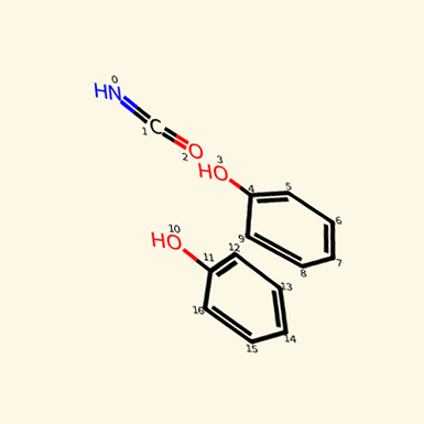 N=C=O.Oc1ccccc1.Oc1ccccc1